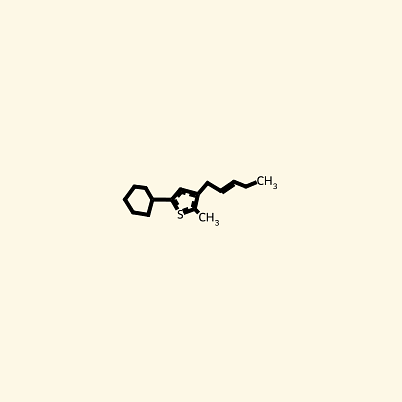 CCC=CCc1cc(C2CCCCC2)sc1C